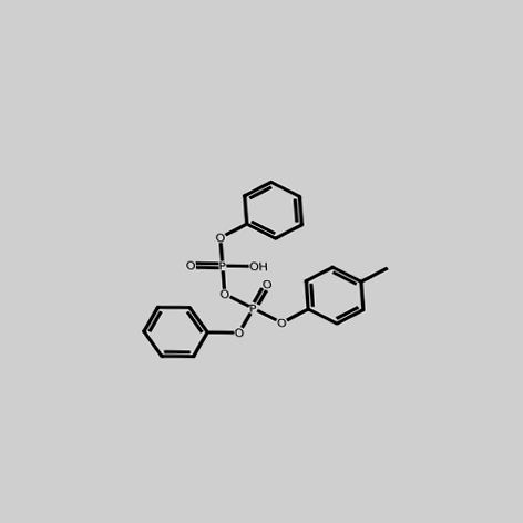 Cc1ccc(OP(=O)(Oc2ccccc2)OP(=O)(O)Oc2ccccc2)cc1